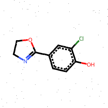 Oc1ccc(C2=NCCO2)cc1Cl